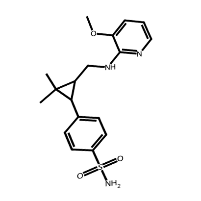 COc1cccnc1NCC1C(c2ccc(S(N)(=O)=O)cc2)C1(C)C